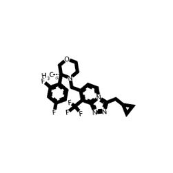 C[C@]1(c2ccc(F)cc2F)COCCN1Cc1ccn2c(CC3CC3)nnc2c1C(F)(F)F